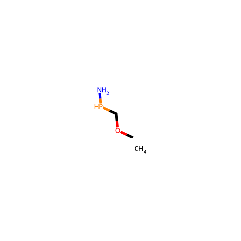 C.COCPN